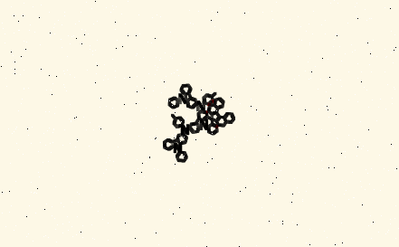 Cc1ccc(N(c2ccc3c(c2)c2ccccc2n3-c2ccccc2)c2ccc3c(c2)c2cc(N(c4ccc(C)cc4)c4ccc5c(c4)c4ccccc4n5-c4ccccc4)cc4c2n3-c2ccccc2C42c3ccc4ccccc4c3-c3c2ccc2ccccc32)cc1